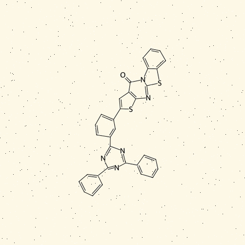 O=c1c2cc(-c3cccc(-c4nc(-c5ccccc5)nc(-c5ccccc5)n4)c3)sc2nc2sc3ccccc3n12